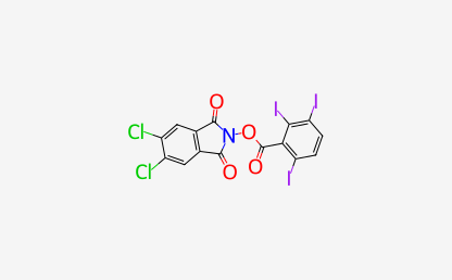 O=C(ON1C(=O)c2cc(Cl)c(Cl)cc2C1=O)c1c(I)ccc(I)c1I